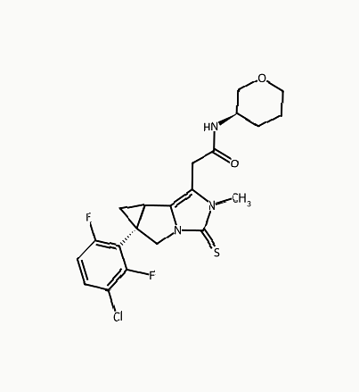 Cn1c(CC(=O)N[C@@H]2CCCOC2)c2n(c1=S)C[C@@]1(c3c(F)ccc(Cl)c3F)CC21